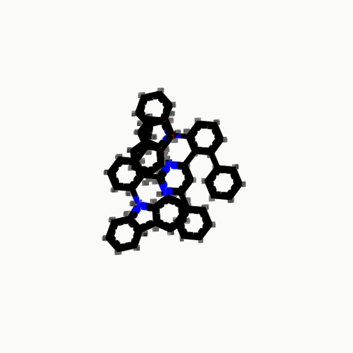 c1ccc(-c2cc(-c3c(-c4ccccc4)cccc3-n3c4ccccc4c4ccccc43)nc(-c3c(-c4ccccc4)cccc3-n3c4ccccc4c4ccccc43)n2)cc1